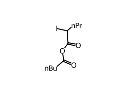 CCCCC(=O)OC(=O)C(I)CCC